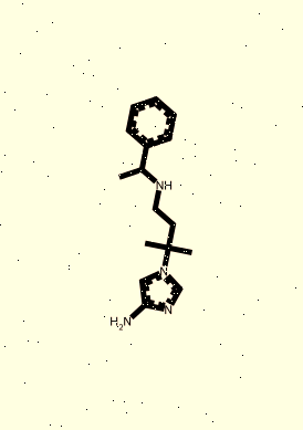 CC(NCCC(C)(C)n1cnc(N)c1)c1ccccc1